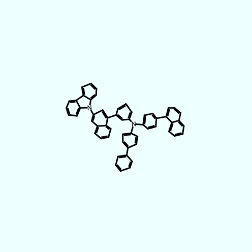 c1ccc(-c2ccc(N(c3ccc(-c4cccc5ccccc45)cc3)c3cccc(-c4cc(-n5c6ccccc6c6ccccc65)cc5ccccc45)c3)cc2)cc1